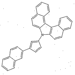 C1=C(c2ccc3ccccc3c2)C=CC=1n1c2ccc3ccccc3c2c2c3ccccc3ccc21